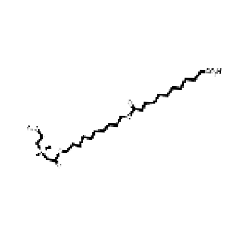 CC(=O)OCC[N+](C)(C)CC(=O)OCCCCCCCCCCOC(=O)CCCCCCCCCCC(=O)O